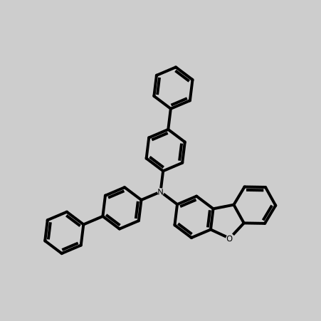 C1=CC2Oc3ccc(N(c4ccc(-c5ccccc5)cc4)c4ccc(-c5ccccc5)cc4)cc3C2C=C1